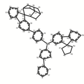 c1ccc(-c2ccc(N(c3ccc(-c4ccc5c(c4)C4(c6ccccc6-5)C5CC6CC(C5)CC4C6)cc3)c3ccc4c(c3)C3(CCCC3)c3ccccc3-4)cc2)cc1